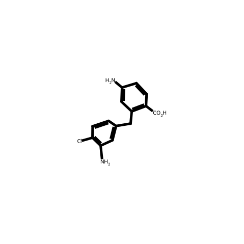 Nc1ccc(C(=O)O)c(Cc2ccc(Cl)c(N)c2)c1